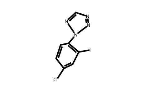 Clc1ccc(-n2ncnn2)c(I)c1